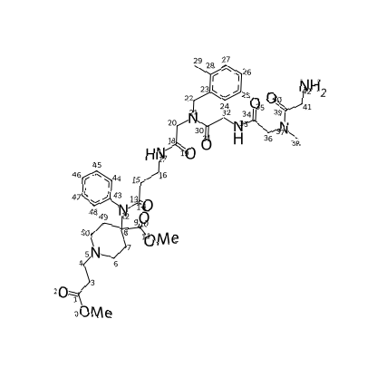 COC(=O)CCN1CCC(C(=O)OC)(N(C(=O)CCNC(=O)CN(Cc2ccccc2C)C(=O)CNC(=O)CN(C)C(=O)CN)c2ccccc2)CC1